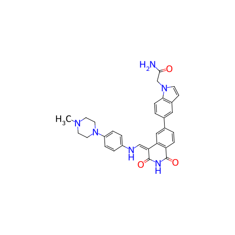 CN1CCN(c2ccc(N/C=C3\C(=O)NC(=O)c4ccc(-c5ccc6c(ccn6CC(N)=O)c5)cc43)cc2)CC1